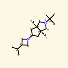 CC(C)C1CN(C2C[C@@H]3CN(C(C)(C)C)C[C@@H]3C2)C1